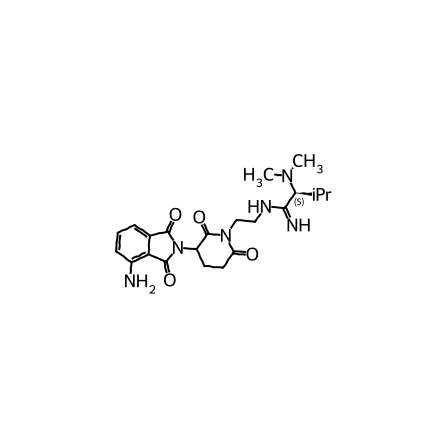 CC(C)[C@@H](C(=N)NCCN1C(=O)CCC(N2C(=O)c3cccc(N)c3C2=O)C1=O)N(C)C